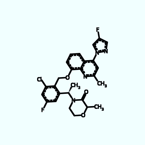 Cc1cc(-n2cc(F)cn2)c2cccc(OCc3c(Cl)cc(F)cc3[C@H](C)N3CCOC(C)C3=O)c2n1